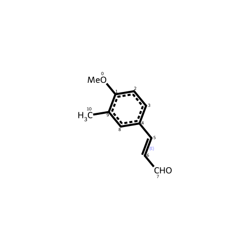 COc1ccc(/C=C/C=O)cc1C